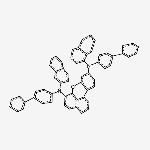 c1ccc(-c2ccc(N(c3ccc4ccccc4c3)c3ccc4cccc5c4c3Oc3cc(N(c4ccc(-c6ccccc6)cc4)c4cccc6ccccc46)ccc3-5)cc2)cc1